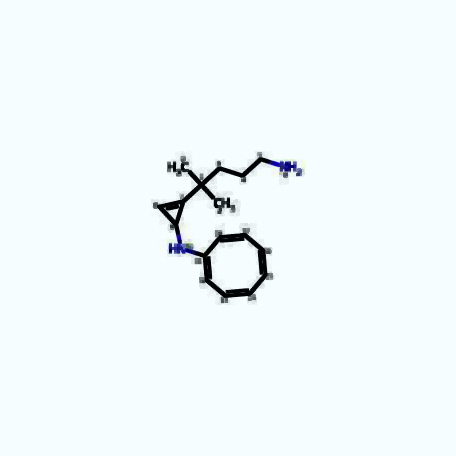 CC(C)(CCCN)C1=CC1NC1=C/C=C\C=C/C=C\1